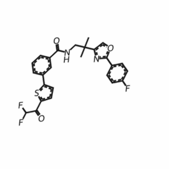 CC(C)(CNC(=O)c1cccc(-c2ccc(C(=O)C(F)F)s2)c1)c1coc(-c2ccc(F)cc2)n1